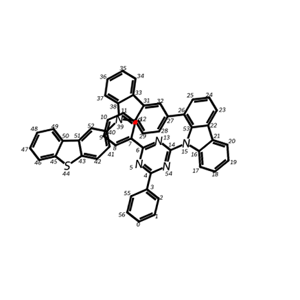 c1ccc(-c2nc(-c3ccccc3)nc(-n3c4ccccc4c4cccc(-c5ccc6c(c5)c5ccccc5n6-c5ccc6sc7ccccc7c6c5)c43)n2)cc1